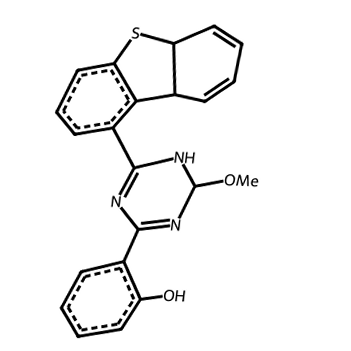 COC1N=C(c2ccccc2O)N=C(c2cccc3c2C2C=CC=CC2S3)N1